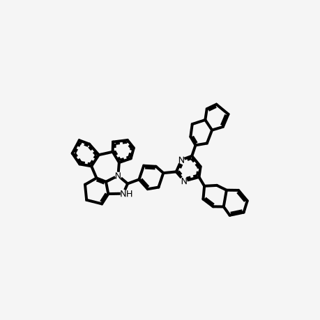 C1=CC2C=CC(c3cc(C4=CCC5C=CC=CC5C4)nc(C4C=CC(C5NC6=CCCC7=C6N5c5ccccc5-c5ccccc57)=CC4)n3)CC2C=C1